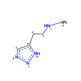 CCCNCCc1cnn[nH]1